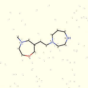 CN1CCOCC(CCN2CCCNCC2)C1